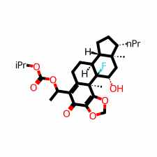 CCC[C@H]1CC[C@H]2[C@@H]3CCC4=C(C(C)OC(=O)OC(C)C)C(=O)C5=C(OCO5)[C@]4(C)[C@@]3(F)[C@@H](O)C[C@]12C